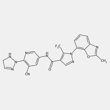 Cc1nc2cccc(-n3ncc(C(=O)Nc4cnc(N5N=CCN5)c(C#N)c4)c3C(F)(F)F)c2o1